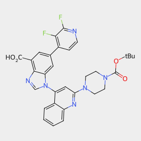 CC(C)(C)OC(=O)N1CCN(c2cc(-n3cnc4c(C(=O)O)cc(-c5ccnc(F)c5F)cc43)c3ccccc3n2)CC1